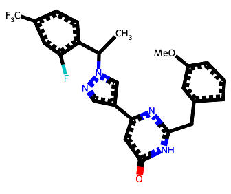 COc1cccc(Cc2nc(-c3cnn(C(C)c4ccc(C(F)(F)F)cc4F)c3)cc(=O)[nH]2)c1